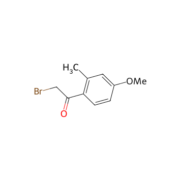 COc1ccc(C(=O)CBr)c(C)c1